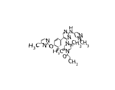 C=CC(=O)N1C[C@@H](C)N(c2nc(Nc3cnn(C)c3)ncc2-c2ccc(Oc3nccc(C)n3)c(F)c2)C[C@@H]1C